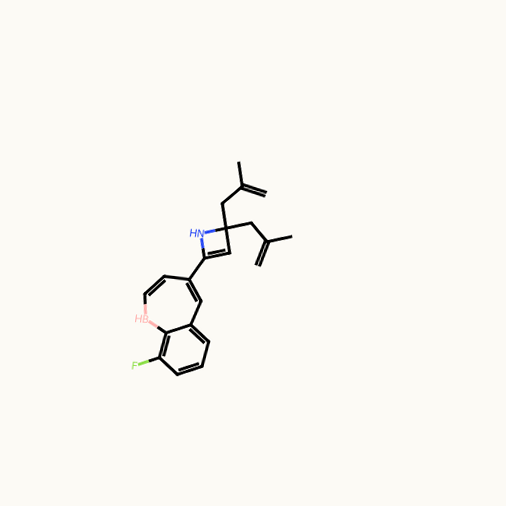 C=C(C)CC1(CC(=C)C)C=C(C2=Cc3cccc(F)c3BC=C2)N1